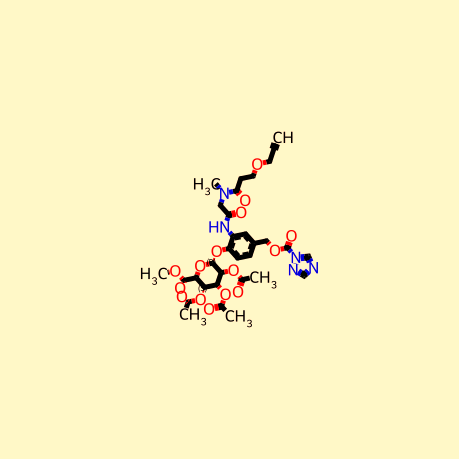 C#CCOCCC(=O)N(C)CC(=O)Nc1cc(COC(=O)n2cncn2)ccc1O[C@H]1OC(C(=O)OC)[C@@H](OC(C)=O)C(OC(C)=O)C1OC(C)=O